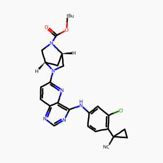 CC(C)(C)OC(=O)N1C[C@@H]2C[C@H]1CN2c1ccc2ncnc(Nc3ccc(C4(C#N)CC4)c(Cl)c3)c2n1